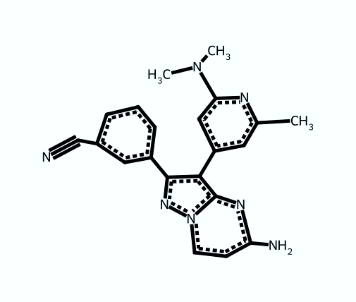 Cc1cc(-c2c(-c3cccc(C#N)c3)nn3ccc(N)nc23)cc(N(C)C)n1